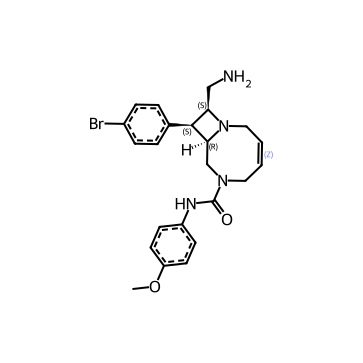 COc1ccc(NC(=O)N2C/C=C\CN3[C@H](CN)[C@H](c4ccc(Br)cc4)[C@@H]3C2)cc1